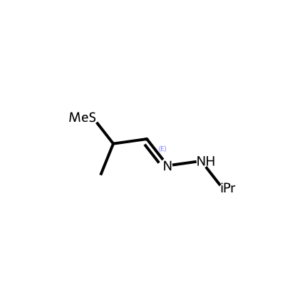 CSC(C)/C=N/NC(C)C